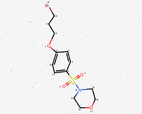 O=S(=O)(c1ccc(OCCCBr)cc1)N1CCOCC1